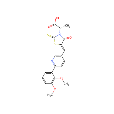 COc1cccc(-c2ccc(/C=C3\SC(=S)N([C@@H](C)C(=O)O)C3=O)cn2)c1OC